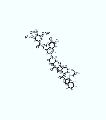 CCC(CC(CNC(=O)c1cc(OC)c(OC)c(OC)c1)c1ccc(Cl)c(Cl)c1)N1CCC(C(=O)c2nc3c(C(=O)c4nc5ccccc5n4CC=C(C)C)cccc3[nH]2)CC1